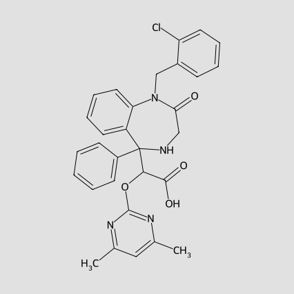 Cc1cc(C)nc(OC(C(=O)O)C2(c3ccccc3)NCC(=O)N(Cc3ccccc3Cl)c3ccccc32)n1